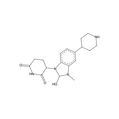 CN1c2cc(C3CCNCC3)ccc2N(C2CCC(=O)NC2=O)C1O